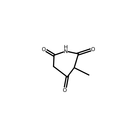 CC1C(=O)CC(=O)NC1=O